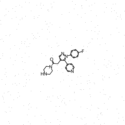 O=C(Cc1cnn(-c2ccc(F)cc2)c1-c1ccncc1)N1CCNCC1